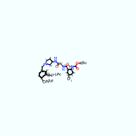 COc1ccc(CN2CC[C@@H](NC(=O)CNC(=O)c3cc(C(F)(F)F)ccc3NC(=O)OC(C)(C)C)C2)cc1NC(C)=O